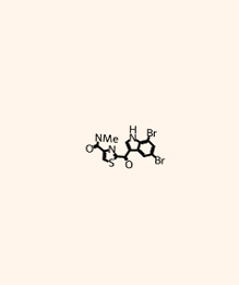 CNC(=O)c1csc(C(=O)c2c[nH]c3c(Br)cc(Br)cc23)n1